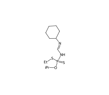 CCSP(=S)(NC=NC1CCCCC1)OC(C)C